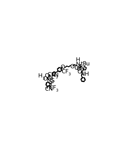 CC(C)(C)C(NC(=O)COCCCCOc1ccc(-c2ccc(N3C(=S)N(c4ccc(C#N)c(C(F)(F)F)c4F)C(=O)C3(C)C)cn2)cc1C(F)(F)F)C(=O)N1CCCC1C(=O)NCc1ccccc1